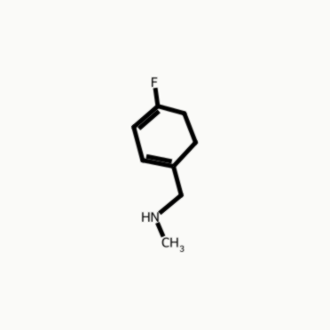 CNCC1=CC=C(F)CC1